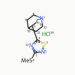 CSc1nsc(C2CN3CCC2CC3)n1.Cl